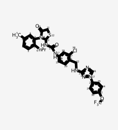 CCCc1ccc(C)cc1N1C(=O)CSC1NC(=O)Nc1ccc(CNc2ncn(-c3ccc(OC(F)(F)F)cc3)n2)c(Cl)c1